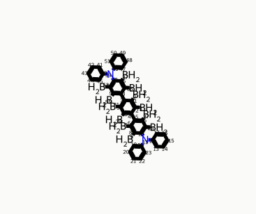 Bc1c(B)c(-c2c(B)c(B)c(N(c3ccccc3)c3ccccc3)c(B)c2B)c(B)c(B)c1-c1c(B)c(B)c(N(c2ccccc2)c2ccccc2)c(B)c1B